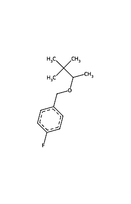 CC(OCc1ccc(F)cc1)C(C)(C)C